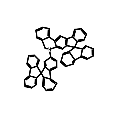 c1ccc2c(c1)CN(c1ccc3c(c1)C1(c4ccccc4-c4ccccc41)c1ccccc1-3)c1cc3c(cc1-2)-c1ccccc1C31c2ccccc2-c2ccccc21